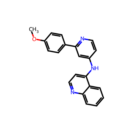 COc1ccc(-c2cc(Nc3ccnc4ccccc34)ccn2)cc1